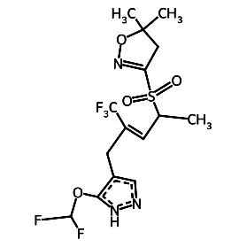 CC(C=C(Cc1cn[nH]c1OC(F)F)C(F)(F)F)S(=O)(=O)C1=NOC(C)(C)C1